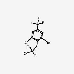 FC(F)(F)c1[c]c(Br)c(CC(Cl)(Cl)Cl)c(Cl)c1